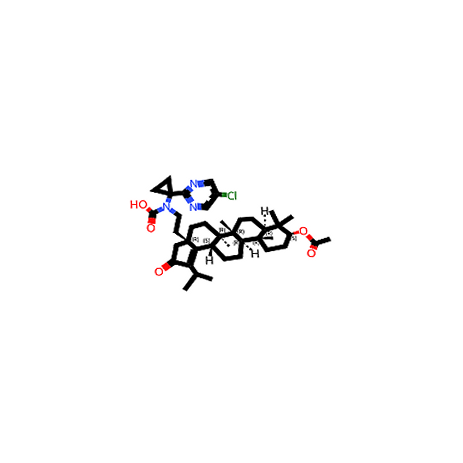 CC(=O)O[C@H]1CC[C@]2(C)[C@H]3CC[C@@H]4C5=C(C(C)C)C(=O)C[C@]5(CCN(C(=O)O)C5(c6ncc(Cl)cn6)CC5)CC[C@@]4(C)[C@]3(C)CC[C@H]2C1(C)C